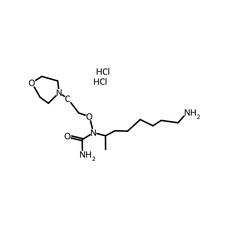 CC(CCCCCCN)N(OCCN1CCOCC1)C(N)=O.Cl.Cl